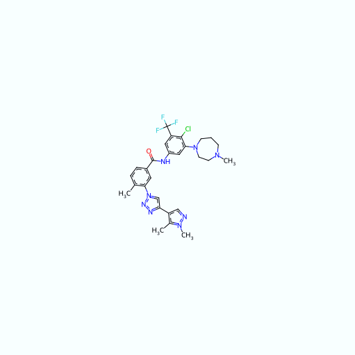 Cc1ccc(C(=O)Nc2cc(N3CCCN(C)CC3)c(Cl)c(C(F)(F)F)c2)cc1-n1cc(-c2cnn(C)c2C)nn1